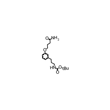 CC(C)(C)OC(=O)NCCCc1cccc(OCCCC(N)=O)c1